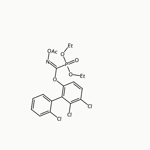 CCOP(=O)(OCC)C(=NOC(C)=O)Oc1ccc(Cl)c(Cl)c1-c1ccccc1Cl